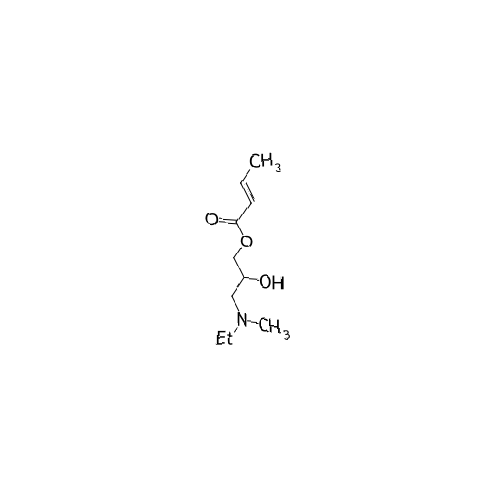 CC=CC(=O)OCC(O)CN(C)CC